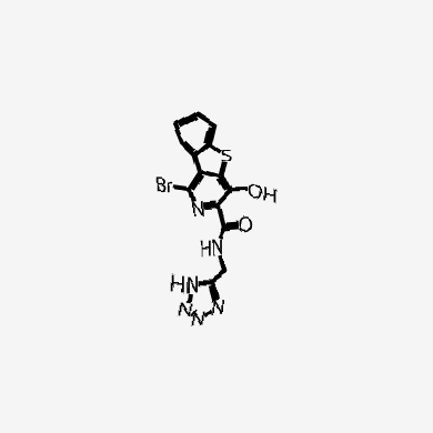 O=C(NCc1nnn[nH]1)c1nc(Br)c2c(sc3ccccc32)c1O